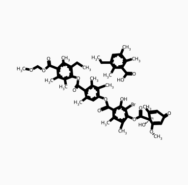 CCc1c(C)c(C(=O)OCOC)c(C)c(C)c1OC(=O)c1c(C)cc(OC(=O)c2c(C)c(C)c(OC(=O)[C@@]3(O)C(C)=CC(=O)C=C3OC)c(Br)c2O)c(C)c1C.CCc1cc(C)c(C)c(C(=O)O)c1C